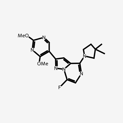 COc1ncc(-c2cc3c(N4CCC(C)(C)C4)ncc(F)n3n2)c(OC)n1